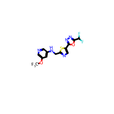 FC(F)c1nnc(-c2cnc(CNc3cncc(OC(F)(F)F)c3)s2)o1